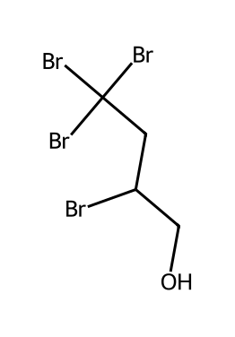 OCC(Br)CC(Br)(Br)Br